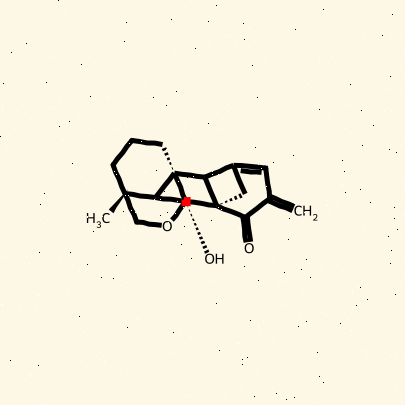 C=C1C=C2C[C@@]3(C1=O)C2[C@@]12CCC[C@@](C)(COC1)C2C[C@H]3O